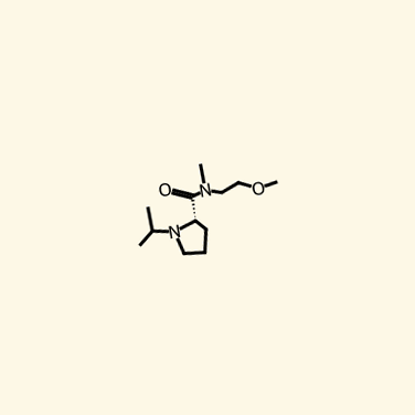 COCCN(C)C(=O)[C@@H]1CCCN1C(C)C